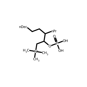 CCCCCCCCCCCCC(CCC)C(C[N+](C)(C)C)OP(=O)(O)O